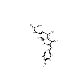 O=C1c2c(Cl)cc(OC(F)F)cc2CN1Cc1ccc(Cl)cc1